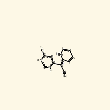 N#C/C(=C1\C=CC=CN1)c1cc(Cl)ncn1